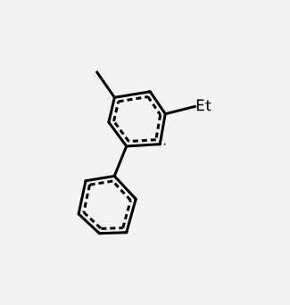 CCc1[c]c(-c2ccccc2)cc(C)c1